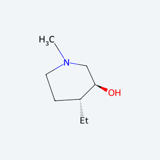 CC[C@@H]1CCN(C)C[C@H]1O